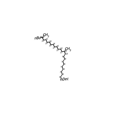 CCCCCCCCCCCCCCCCCCCCC(C)CCCCCCCCCCCC(C)CCCC